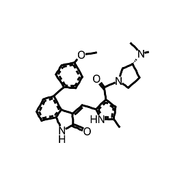 COc1ccc(-c2cccc3c2/C(=C/c2[nH]c(C)cc2C(=O)N2CC[C@@H](N(C)C)C2)C(=O)N3)cc1